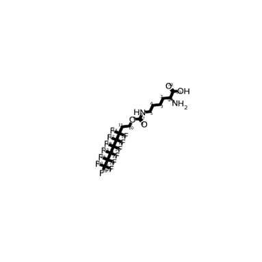 N[C@@H](CCCCNC(=O)OCCC(F)(F)C(F)(F)C(F)(F)C(F)(F)C(F)(F)C(F)(F)F)C(=O)O